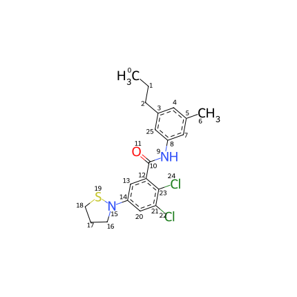 CCCc1cc(C)cc(NC(=O)c2cc(N3CCCS3)cc(Cl)c2Cl)c1